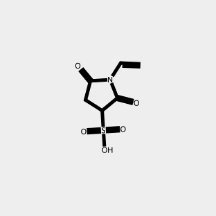 C=CN1C(=O)CC(S(=O)(=O)O)C1=O